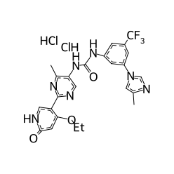 CCOc1cc(=O)[nH]cc1-c1ncc(NC(=O)Nc2cc(-n3cnc(C)c3)cc(C(F)(F)F)c2)c(C)n1.Cl.Cl